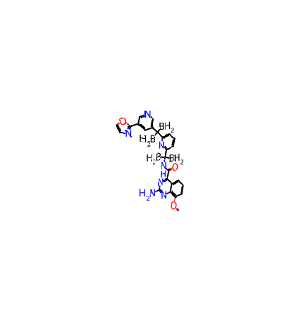 BC(B)(NC(=O)c1nc(N)nc2c(OC)cccc12)c1cccc(C(B)(B)c2cncc(-c3ncco3)c2)n1